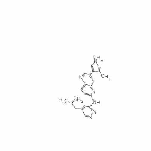 Cc1nn(C)cc1-c1cnc2ccc(Nc3cc(CC(C)C)cnn3)nc2c1